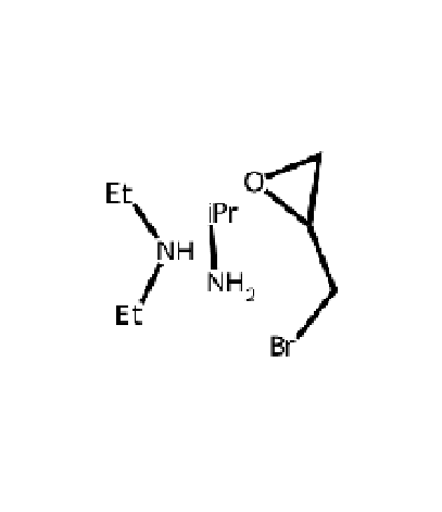 BrCC1CO1.CC(C)N.CCNCC